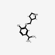 CC(C)c1ccc(Cl)c(OCC2CCNC2)c1